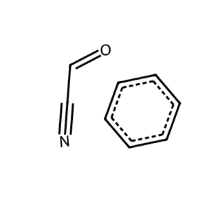 N#CC=O.c1ccccc1